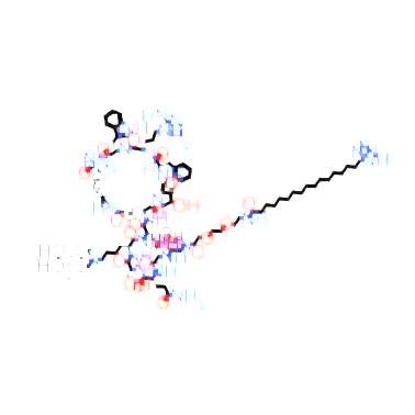 CCCC[C@H](NC(=O)[C@H](CCCCN(CC(=O)O)CC(=O)O)NC(=O)[C@H](CO)NC(=O)[C@H](CCC(N)=O)NC(=O)[C@H](CO)NC(=O)CNC(=O)COCCOCCNC(=O)CCCCCCCCCCCCCCCc1nnn[nH]1)C(=O)N[C@H]1CCC(=O)NCCCC[C@@H](C(N)=O)NC(=O)[C@H](Cc2c[nH]c3ccccc23)NC(=O)[C@H](CCCNC(=N)N)NC(=O)[C@@H](Cc2ccccc2)NC(=O)[C@@H]2C[C@@H](O)CN2C1=O